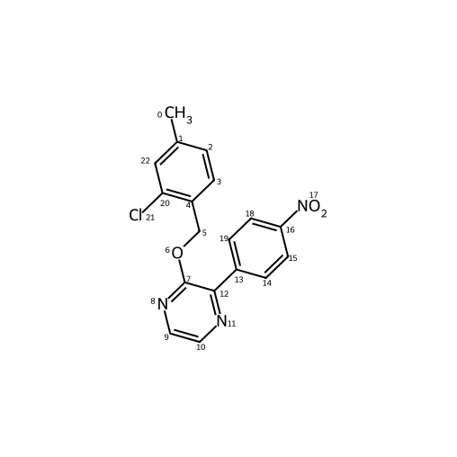 Cc1ccc(COc2nccnc2-c2ccc([N+](=O)[O-])cc2)c(Cl)c1